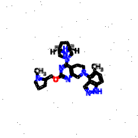 Cc1ccc2[nH]ncc2c1N1CCc2c(nc(OCC3CCCN3C)nc2N2C[C@H]3CC[C@@H](C2)N3)C1